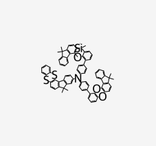 CC1(C)c2ccccc2-c2c1ccc1c2Oc2c(cccc2-c2ccc(N(c3ccc(-c4cccc5c4Oc4c(ccc6c4-c4ccccc4C6(C)C)[Si]5(C)C)cc3)c3ccc4c(c3)C(C)(C)c3ccc5c(c3-4)Sc3ccccc3S5)cc2)O1